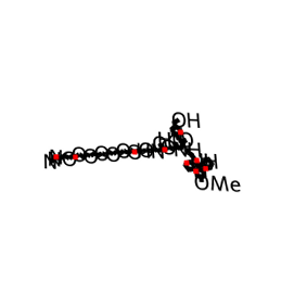 COc1ccc(C(NCCCC[C@H](NC(=O)COCC(=O)NCCOCCOCCOCCOCCOCCOCCOCCOCCN=[N+]=[N-])C(=O)Nc2ccc(CO)cc2)(c2ccccc2)c2ccccc2)cc1